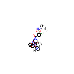 Cc1nc2ccccc2n1C1C[C@H]2CC[C@@H](C1)N2CCC1(c2ccccc2)CCN(C(=O)c2ccc(Cl)c(S(=O)(=O)NC(C)C)c2)CC1